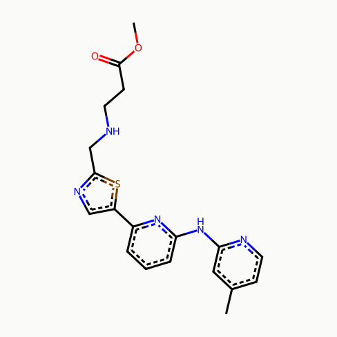 COC(=O)CCNCc1ncc(-c2cccc(Nc3cc(C)ccn3)n2)s1